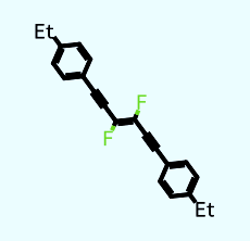 CCc1ccc(C#C/C(F)=C(\F)C#Cc2ccc(CC)cc2)cc1